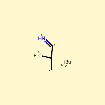 CC[C@H](C)C(C)(C=N)C(F)(F)F